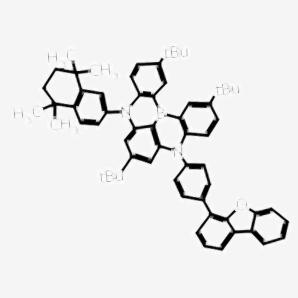 CC(C)(C)c1ccc2c(c1)B1c3cc(C(C)(C)C)ccc3N(c3ccc4c(c3)C(C)(C)CCC4(C)C)c3cc(C(C)(C)C)cc(c31)N2c1ccc(-c2cccc3c2oc2ccccc23)cc1